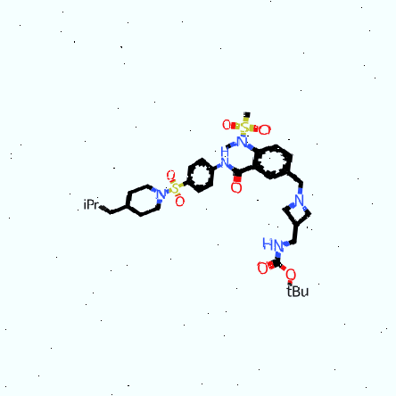 CC(C)CC1CCN(S(=O)(=O)c2ccc(NC(=O)c3cc(CN4CC(CNC(=O)OC(C)(C)C)C4)ccc3N(C)S(C)(=O)=O)cc2)CC1